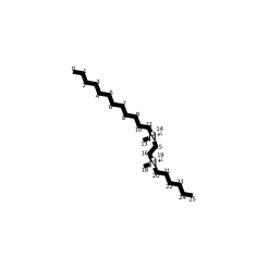 CCCCCCCCCCCC[N+](C)(C)CC[N+](C)(C)CCCCCC